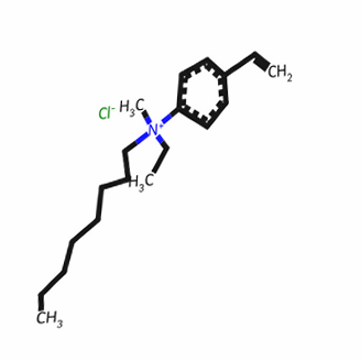 C=Cc1ccc([N+](C)(CC)CCCCCCCC)cc1.[Cl-]